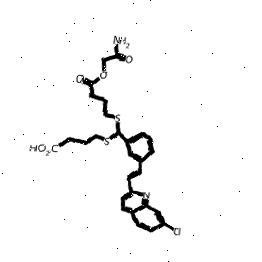 NC(=O)COC(=O)CCCSC(SCCCC(=O)O)c1cccc(C=Cc2ccc3ccc(Cl)cc3n2)c1